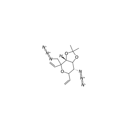 C=CC1OC(C=C)(CN=[N+]=[N-])[C@@H]2OC(C)(C)OC2[C@@H]1N=[N+]=[N-]